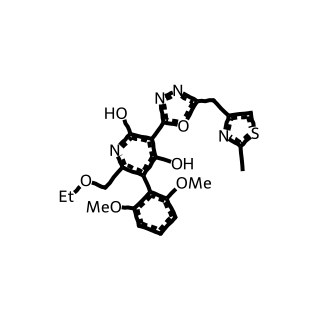 CCOCc1nc(O)c(-c2nnc(Cc3csc(C)n3)o2)c(O)c1-c1c(OC)cccc1OC